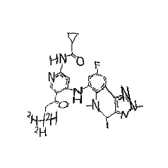 [2H]C([2H])([2H])CC(=O)c1cnc(NC(=O)C2CC2)cc1Nc1cc(F)cc2c1N(C)[C@H](C)c1nn(C)nc1-2